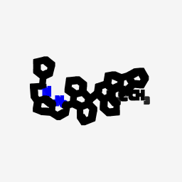 C[Si]1(C)c2ccccc2-c2ccc3cc(-c4c5ccccc5c(-c5ccc6ccc7ccc(-c8ccccc8)nc7c6n5)c5ccccc45)c4ccccc4c3c21